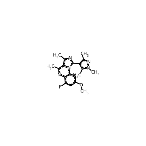 COc1cc(F)c2nc(C)c3c(C)nc(-c4c(C)nn(C)c4C)n3c2c1